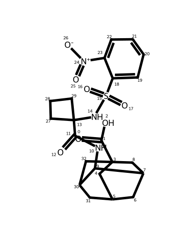 O=C(O)C12CC3CC(C1)C(NC(=O)C1(NS(=O)(=O)c4ccccc4[N+](=O)[O-])CCC1)C(C3)C2